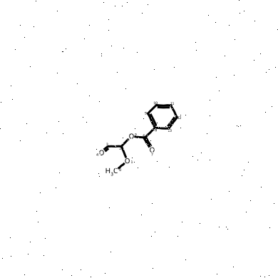 COC(C=O)OC(=O)c1ccccc1